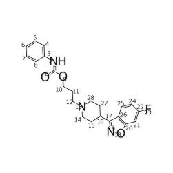 O=C(Nc1ccccc1)OCCCN1CCC(c2noc3cc(F)ccc23)CC1